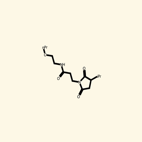 CCCOCCNC(=O)CCN1C(=O)CC(C(C)C)C1=O